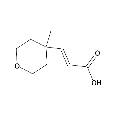 CC1(C=CC(=O)O)CCOCC1